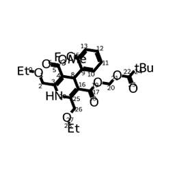 CCOCC1=C(C(=O)OC)C(c2ccccc2C(F)(F)F)C(C(=O)OCOC(=O)C(C)(C)C)=C(COCC)N1